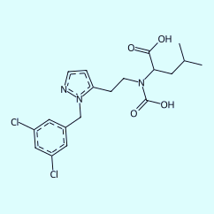 CC(C)CC(C(=O)O)N(CCc1ccnn1Cc1cc(Cl)cc(Cl)c1)C(=O)O